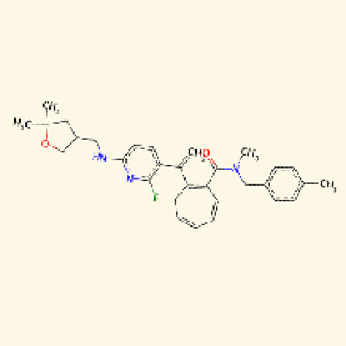 C=C(C1=C(C(=O)N(C)Cc2ccc(C)cc2)C=CC=CC1)c1ccc(NCC2COC(C)(C)C2)nc1F